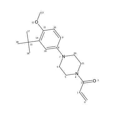 C=CC(=O)N1CCN(c2ccc(OC)c(C(C)(C)C)c2)CC1